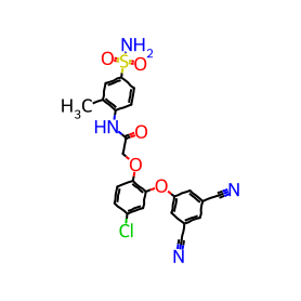 Cc1cc(S(N)(=O)=O)ccc1NC(=O)COc1ccc(Cl)cc1Oc1cc(C#N)cc(C#N)c1